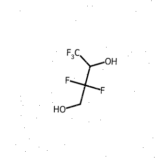 OCC(F)(F)C(O)C(F)(F)F